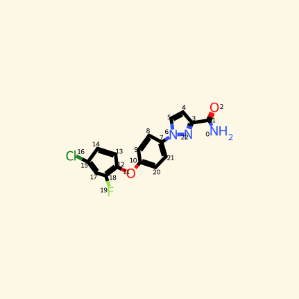 NC(=O)c1ccn(-c2ccc(Oc3ccc(Cl)cc3F)cc2)n1